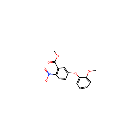 COC(=O)c1cc(Oc2ccccc2OC)ccc1[N+](=O)[O-]